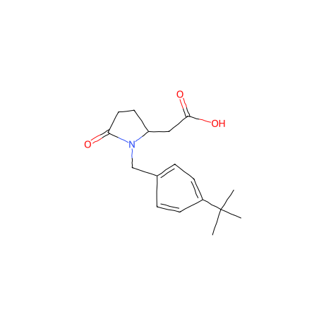 CC(C)(C)c1ccc(CN2C(=O)CCC2CC(=O)O)cc1